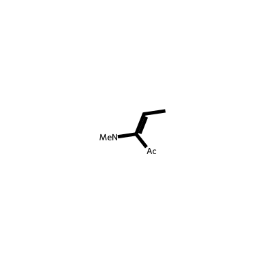 CC=C(NC)C(C)=O